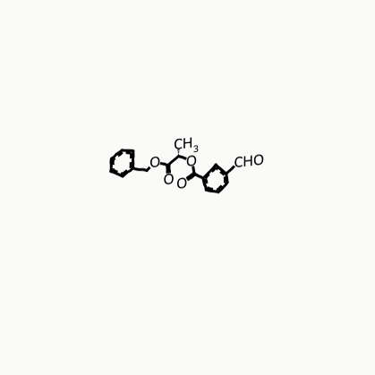 C[C@H](OC(=O)c1cccc(C=O)c1)C(=O)OCc1ccccc1